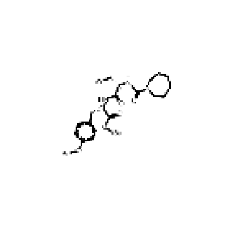 CC(C)C[C@H](NC(=O)N1CCCCCC1)C(=O)N[C@@H](Cc1ccc(OC(C)(C)C)cc1)C(=O)OC(C)(C)C